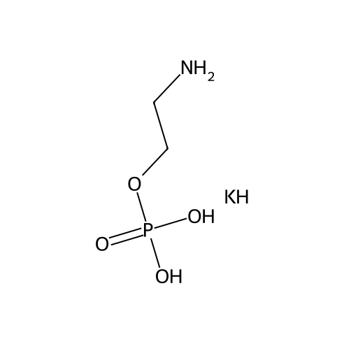 NCCOP(=O)(O)O.[KH]